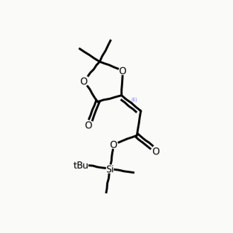 CC1(C)OC(=O)/C(=C\C(=O)O[Si](C)(C)C(C)(C)C)O1